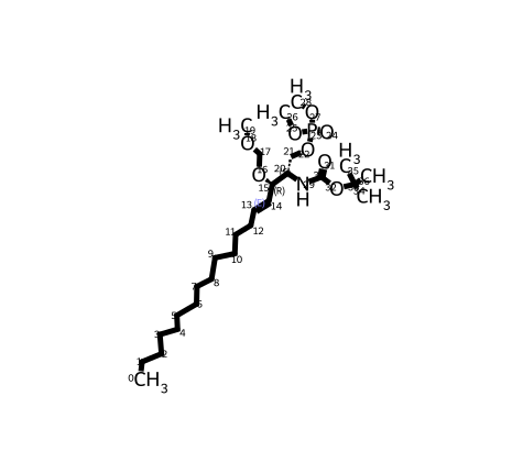 CCCCCCCCCCCCC/C=C/[C@@H](OCOC)[C@H](COP(=O)(OC)OC)NC(=O)OC(C)(C)C